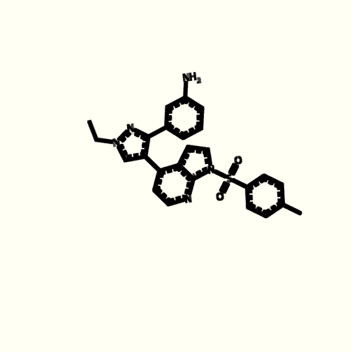 CCn1cc(-c2ccnc3c2ccn3S(=O)(=O)c2ccc(C)cc2)c(-c2cccc(N)c2)n1